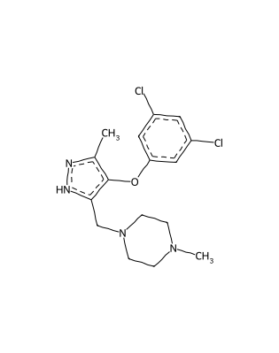 Cc1n[nH]c(CN2CCN(C)CC2)c1Oc1cc(Cl)cc(Cl)c1